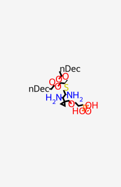 CCCCCCCCCCCC(=O)OC(OC(=O)CCCCCCCCCCC)[C@@H](C)SC[C@H](N)C(N)C1(COCCCP(=O)(O)O)CC1